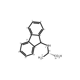 C[C@H](NC1c2ccccc2-c2ccccc21)C(=O)O